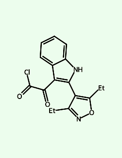 CCc1noc(CC)c1-c1[nH]c2ccccc2c1C(=O)C(=O)Cl